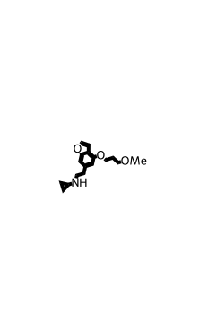 COCCCOc1cc(CCNC2CC2)cc2occc12